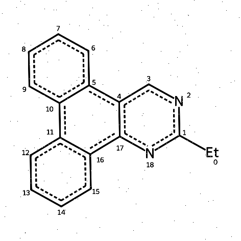 CCc1ncc2c3ccccc3c3ccccc3c2n1